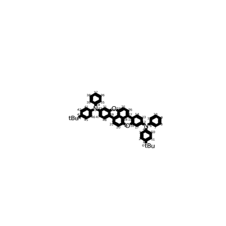 CC(C)(C)c1ccc(N(c2ccccc2)c2ccc3c(c2)Oc2ccc4c5c(ccc-3c25)Oc2cc(N(c3ccccc3)c3ccc(C(C)(C)C)cc3)ccc2-4)cc1